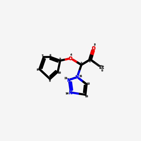 CCC(=O)C(Oc1ccccc1)n1ccnn1